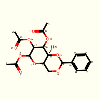 CC(=O)OC1OC2COC(c3ccccc3)O[C@@H]2C(OC(C)=O)C1OC(C)=O